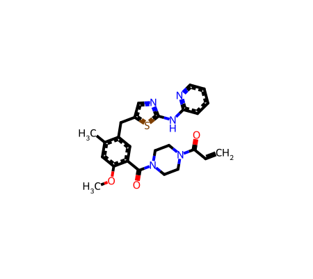 C=CC(=O)N1CCN(C(=O)c2cc(Cc3cnc(Nc4ccccn4)s3)c(C)cc2OC)CC1